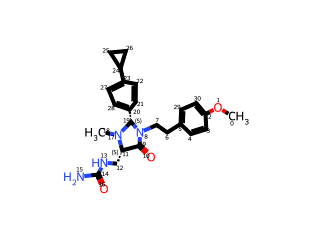 COc1ccc(CCN2C(=O)[C@H](CNC(N)=O)N(C)[C@@H]2c2ccc(C3CC3)cc2)cc1